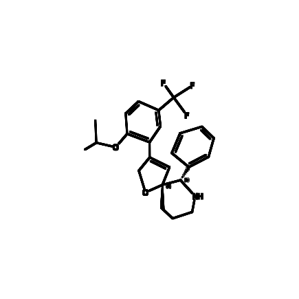 CC(C)Oc1ccc(C(F)(F)F)cc1C1=C[C@@]2(CCCN[C@H]2c2ccccc2)OC1